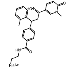 CC(=O)NCCNC(=O)c1ccc(C(C/C(=N\O)c2ccc(=O)n(C)c2)c2ccccc2C)cc1